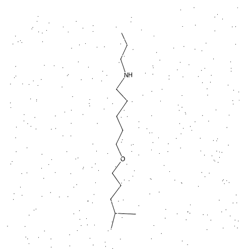 CCCNCCCCCOCCCC(C)C